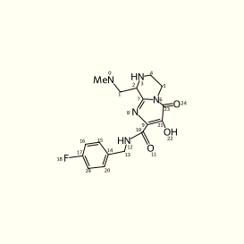 CNCC1NCCn2c1nc(C(=O)NCc1ccc(F)cc1)c(O)c2=O